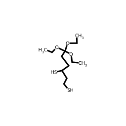 CCOC(CCC(S)CCS)(OCC)OCC